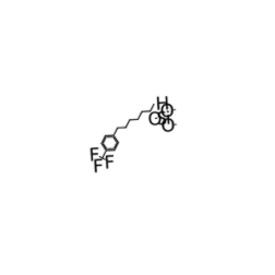 CO[SiH](OC)OC(C)CCCCCc1ccc(C(F)(F)F)cc1